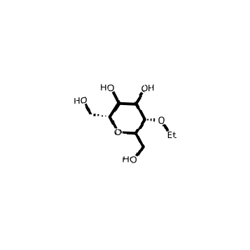 CCO[C@@H]1C(CO)O[C@H](CO)C(O)C1O